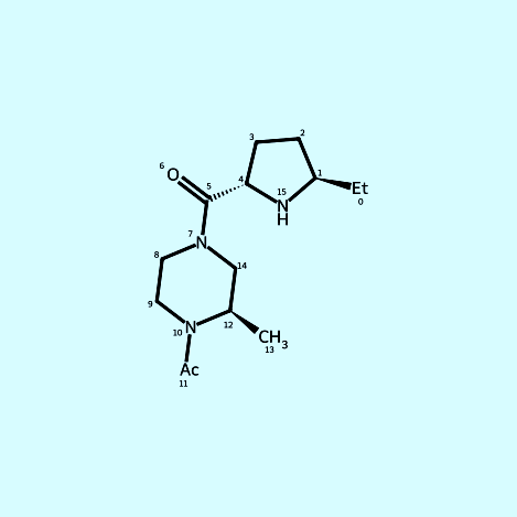 CC[C@@H]1CC[C@@H](C(=O)N2CCN(C(C)=O)[C@H](C)C2)N1